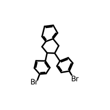 Brc1ccc(C2Cc3ccccc3CC2c2ccc(Br)cc2)cc1